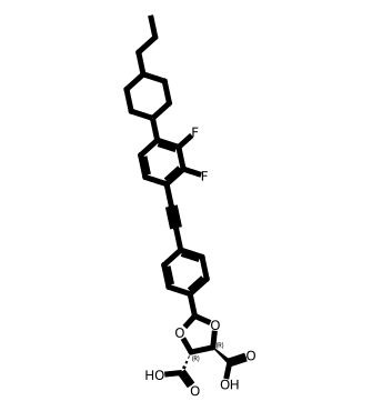 CCCC1CCC(c2ccc(C#Cc3ccc(C4O[C@@H](C(=O)O)[C@H](C(=O)O)O4)cc3)c(F)c2F)CC1